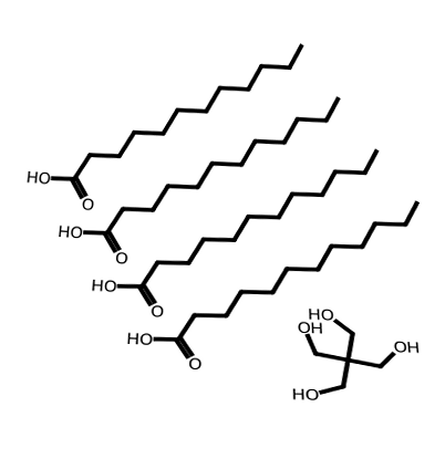 CCCCCCCCCCCC(=O)O.CCCCCCCCCCCC(=O)O.CCCCCCCCCCCC(=O)O.CCCCCCCCCCCC(=O)O.OCC(CO)(CO)CO